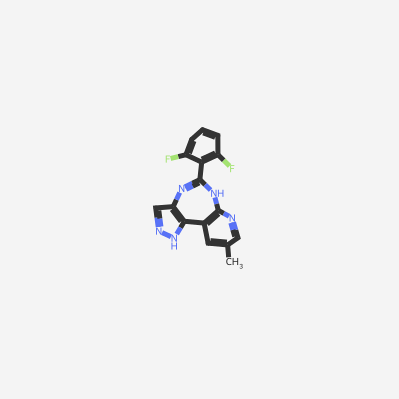 Cc1cnc2c(c1)-c1[nH]ncc1N=C(c1c(F)cccc1F)N2